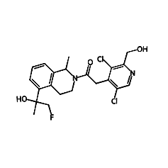 CC1c2cccc(C(C)(O)CF)c2CCN1C(=O)Cc1c(Cl)cnc(CO)c1Cl